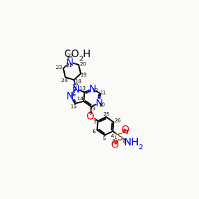 NS(=O)(=O)c1ccc(Oc2ncnc3c2cnn3C2CCN(C(=O)O)CC2)cc1